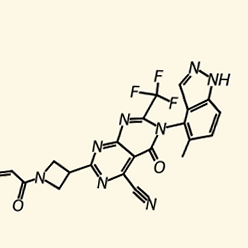 C=CC(=O)N1CC(c2nc(C#N)c3c(=O)n(-c4c(C)ccc5[nH]ncc45)c(C(F)(F)F)nc3n2)C1